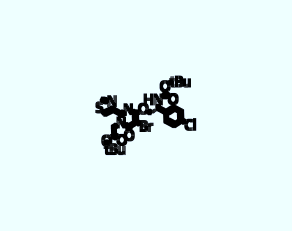 CC(C)(C)OC(=O)Cn1c(-c2cscn2)nc(OC[C@H](NC(=O)OC(C)(C)C)c2ccc(Cl)cc2)c(Br)c1=O